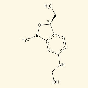 CC[C@@H]1OB(C)c2cc(NCO)ccc21